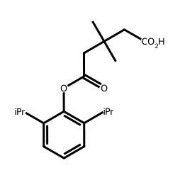 CC(C)c1cccc(C(C)C)c1OC(=O)CC(C)(C)CC(=O)O